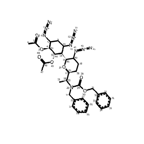 CC(=O)O[C@H]1C(N=[N+]=[N-])CC(N=[N+]=[N-])C([C@H]2O[C@H]([C@H](C)N(Cc3ccccc3)C(=O)OCc3ccccc3)CCC2N=[N+]=[N-])[C@@H]1OC(C)=O